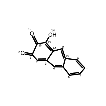 O=C1C=c2cc3ccccc3cc2=C(O)C1=O